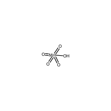 [O]=[Mn](=[O])(=[O])(=[O])[OH]